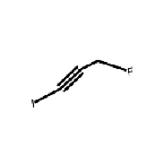 FCC#CI